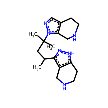 CC(CC(C)(C)n1ncc2c1CNCC2)c1n[nH]c2c1CNCC2